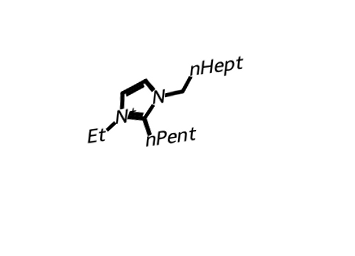 CCCCCCCCn1cc[n+](CC)c1CCCCC